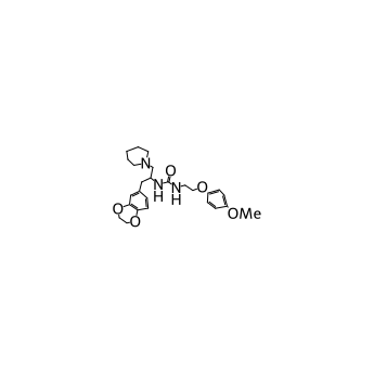 COc1ccc(OCCNC(=O)NC(Cc2ccc3c(c2)OCCO3)CN2CCCCC2)cc1